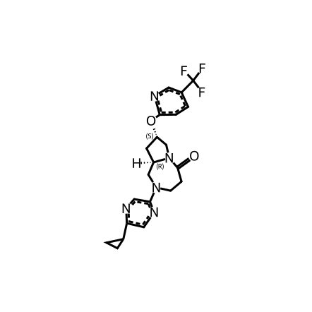 O=C1CCN(c2cnc(C3CC3)cn2)C[C@H]2C[C@H](Oc3ccc(C(F)(F)F)cn3)CN12